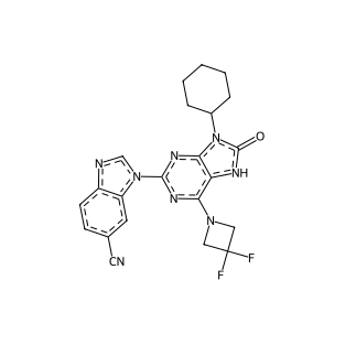 N#Cc1ccc2ncn(-c3nc(N4CC(F)(F)C4)c4[nH]c(=O)n(C5CCCCC5)c4n3)c2c1